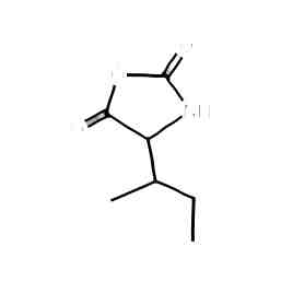 CCC(C)C1NC(=O)OC1=O